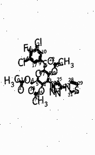 CC(=O)OC[C@H]1O[C@H](Sc2cc(Cl)c(F)c(Cl)c2)[C@H](OC(C)=O)[C@@H](n2cc(N3C=CSC3)nn2)[C@H]1OC(C)=O